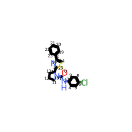 O=C(Nc1ccc(Cl)cc1)N1CCCC1c1nc(-c2ccccc2)cs1